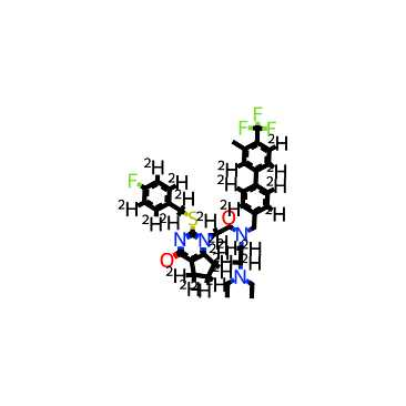 [2H]c1c([2H])c(C([2H])([2H])Sc2nc(=O)c3c(n2C([2H])([2H])C(=O)N(Cc2c([2H])c([2H])c(-c4c([2H])c([2H])c(C(F)(F)F)c(C)c4[2H])c([2H])c2[2H])C([2H])([2H])C([2H])([2H])N(CC)CC)C([2H])([2H])C([2H])([2H])C3([2H])[2H])c([2H])c([2H])c1F